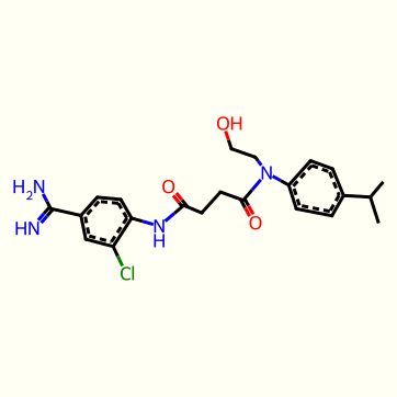 CC(C)c1ccc(N(CCO)C(=O)CCC(=O)Nc2ccc(C(=N)N)cc2Cl)cc1